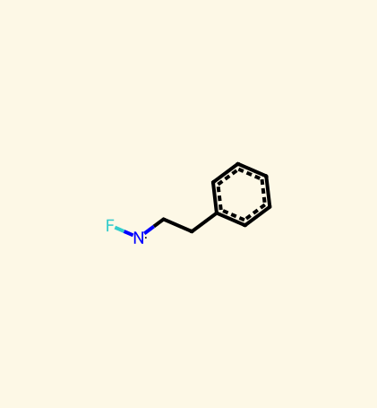 F[N]CCc1ccccc1